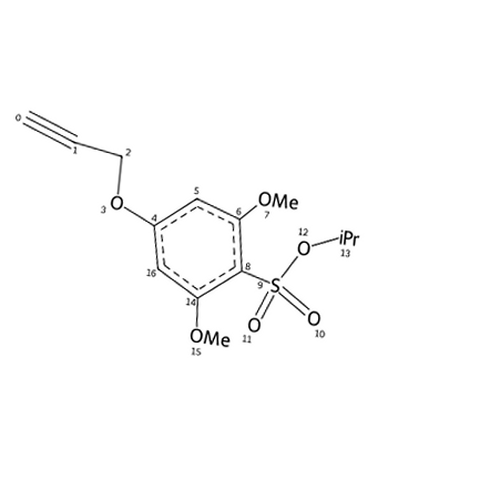 C#CCOc1cc(OC)c(S(=O)(=O)OC(C)C)c(OC)c1